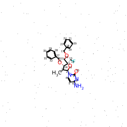 C[C@@H]1[C@H](n2ccc(N)nc2=O)O[C@](CF)(COCc2ccccc2)[C@H]1OCc1ccccc1